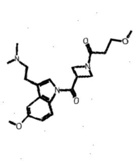 COCCC(=O)N1CC(C(=O)n2cc(CCN(C)C)c3cc(OC)ccc32)C1